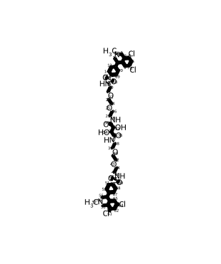 CN1Cc2c(Cl)cc(Cl)cc2C(c2ccc(S(=O)(=O)NCCOCCOCCNC(=O)[C@@H](O)[C@H](O)C(=O)NCCOCCOCCNS(=O)(=O)c3ccc(C4CN(C)Cc5c(Cl)cc(Cl)cc54)cc3)cc2)C1